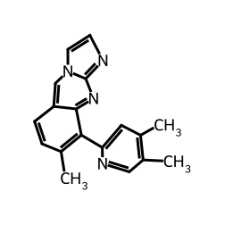 Cc1cnc(-c2c(C)ccc3cn4ccnc4nc23)cc1C